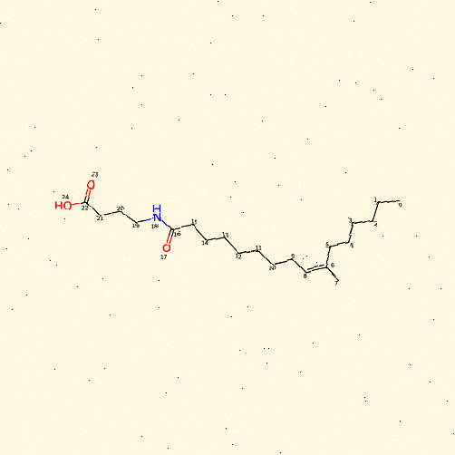 CCCCCC/C(C)=C\CCCCCCCC(=O)NCCCC(=O)O